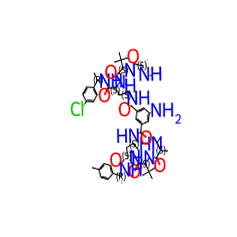 CN[C@@H](C)C(=O)N[C@H](C(=O)N1C[C@@H](NC(=O)c2cc(N)cc(C(=O)N[C@H]3C[C@@H](C(=O)N[C@H](C)c4ccc(Cl)cc4)N(C(=O)[C@@H](NC(=O)[C@H](C)NC)C(C)(C)C)C3)c2)C[C@H]1C(=O)N[C@H](C)c1ccc(C)cc1)C(C)(C)C